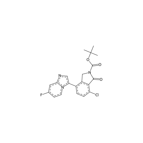 CC(C)(C)OC(=O)N1Cc2c(-c3cnc4cc(F)ccn34)ccc(Cl)c2C1=O